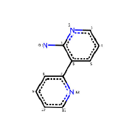 [N]c1ncccc1-c1ccccn1